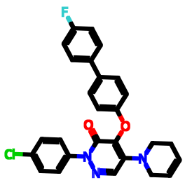 O=c1c(Oc2ccc(-c3ccc(F)cc3)cc2)c(N2CC=CCC2)cnn1-c1ccc(Cl)cc1